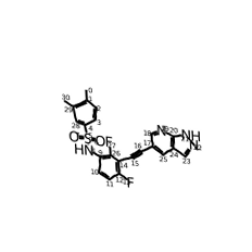 Cc1ccc(S(=O)(=O)Nc2ccc(F)c(C#Cc3cnc4[nH]ncc4c3)c2F)cc1C